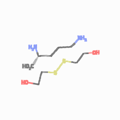 NCCC[C@@H](N)C(=O)O.OCCSSCCO